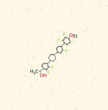 CCOc1ccc(-c2ccc(C3=CCC(c4ccc(C(C)O)c(F)c4F)CC3)cc2F)c(F)c1F